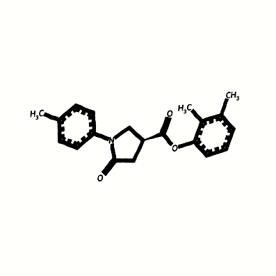 Cc1ccc(N2C[C@@H](C(=O)Oc3cccc(C)c3C)CC2=O)cc1